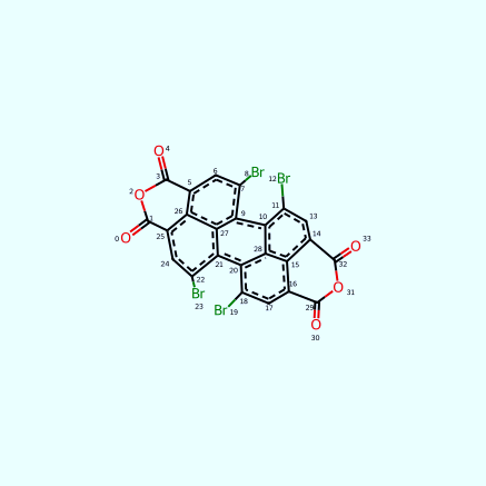 O=C1OC(=O)c2cc(Br)c3c4c(Br)cc5c6c(cc(Br)c(c7c(Br)cc1c2c73)c64)C(=O)OC5=O